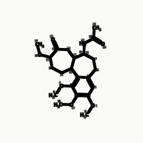 COc1cc2c(c(OC)c1OC)C1CCC(OC)C(=O)CC1[C@@H](NC(C)=O)CC2